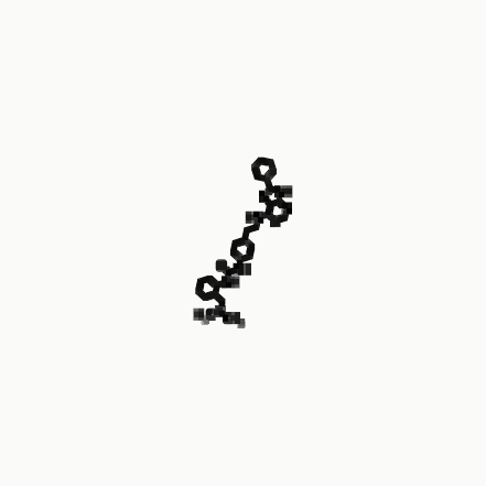 CN(C)Cc1ccccc1NC(=O)Nc1ccc(CCNc2ncnc3[nH]c(-c4ccccc4)nc23)cc1